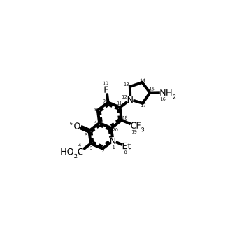 CCn1cc(C(=O)O)c(=O)c2cc(F)c(N3CCC(N)C3)c(C(F)(F)F)c21